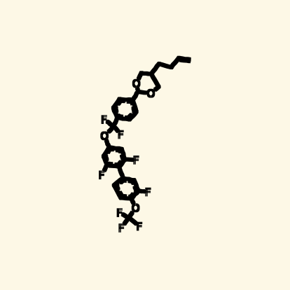 C=CCCC1COC(c2ccc(C(F)(F)Oc3cc(F)c(-c4ccc(OC(F)(F)F)c(F)c4)c(F)c3)cc2)OC1